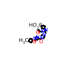 Cc1ccc(Oc2cc(C(=O)N3CCN(Cc4nc5ccc(C(=O)O)cc5n4CC4CCO4)CC3)ncn2)cc1